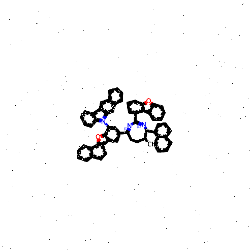 CC1CC/C(c2cc(-n3c4ccccc4c4cc5ccccc5cc43)c3oc4c5ccccc5ccc4c3c2)=N\C(c2cccc3oc4ccccc4c23)=N/C1c1cccc2ccccc12